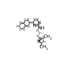 Cc1cc(C)n(CCCNc2nccc(-c3ccc4ccccc4c3)n2)n1